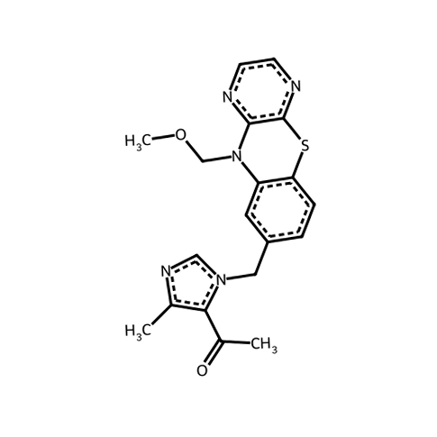 COCN1c2cc(Cn3cnc(C)c3C(C)=O)ccc2Sc2nccnc21